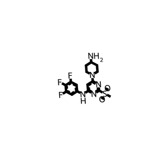 CS(=O)(=O)c1nc(Nc2cc(F)c(F)c(F)c2)cc(N2CCC(N)CC2)n1